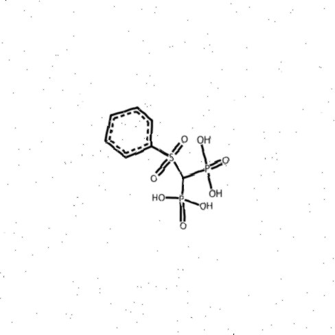 O=P(O)(O)C(P(=O)(O)O)S(=O)(=O)c1ccccc1